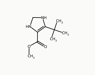 COC(=O)C1=C(C(C)(C)C)NCN1